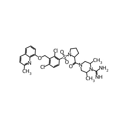 Cc1ccc2cccc(OCc3c(Cl)ccc(S(=O)(=O)N4CCCC4C(=O)N4CC(C)N(C(=N)N)C(C)C4)c3Cl)c2n1